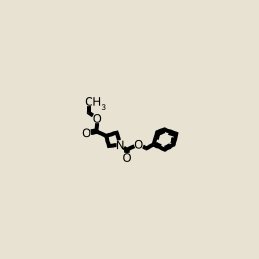 CCOC(=O)C1CN(C(=O)OCc2ccccc2)C1